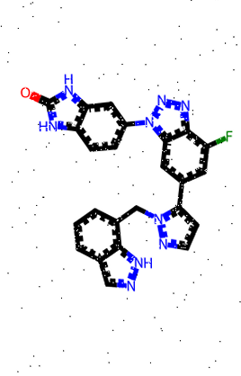 O=c1[nH]c2ccc(-n3nnc4c(F)cc(-c5ccnn5Cc5cccc6cn[nH]c56)cc43)cc2[nH]1